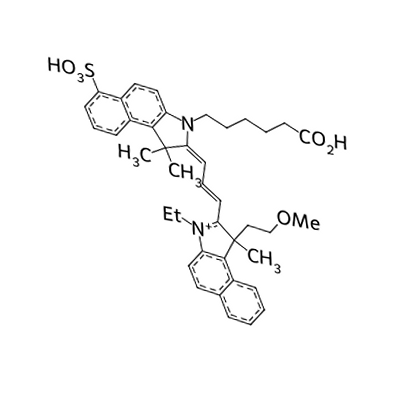 CC[N+]1=C(/C=C/C=C2/N(CCCCCC(=O)O)c3ccc4c(S(=O)(=O)O)cccc4c3C2(C)C)C(C)(CCOC)c2c1ccc1ccccc21